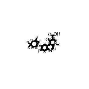 Cn1cc(C(=O)O)c(=O)c2c3cc(N4CC5(C)CC4CC(C)(C)C5)c(F)cc3ncc21